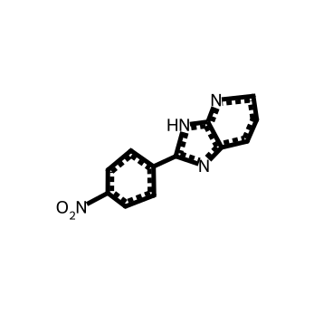 O=[N+]([O-])c1ccc(-c2nc3cccnc3[nH]2)cc1